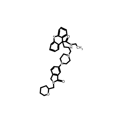 CCNC(=O)C1(CCCN2CCN(c3ccc4c(c3)C(=O)N(CC3CCCCO3)C4)CC2)c2ccccc2Sc2ccccc21